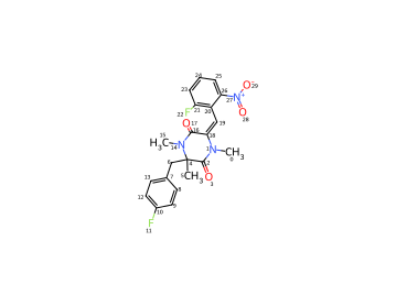 CN1C(=O)C(C)(Cc2ccc(F)cc2)N(C)C(=O)C1=Cc1c(F)cccc1[N+](=O)[O-]